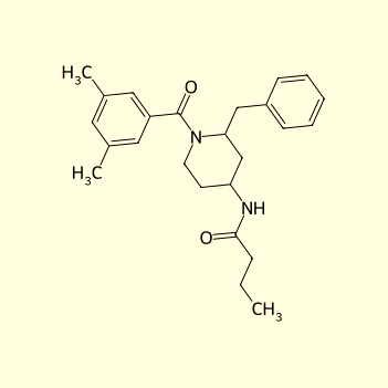 CCCC(=O)NC1CCN(C(=O)c2cc(C)cc(C)c2)C(Cc2ccccc2)C1